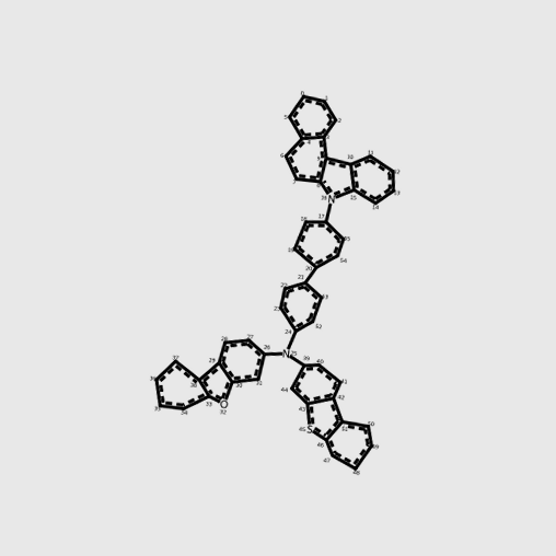 c1ccc2c(c1)ccc1c2c2ccccc2n1-c1ccc(-c2ccc(N(c3ccc4c(c3)oc3ccccc34)c3ccc4c(c3)sc3ccccc34)cc2)cc1